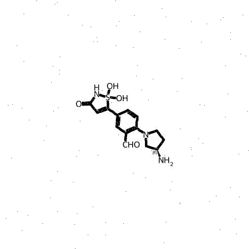 N[C@@H]1CCN(c2ccc(C3=CC(=O)NS3(O)O)cc2C=O)C1